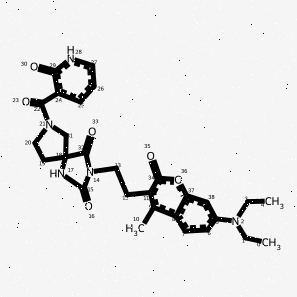 CCN(CC)c1ccc2c(C)c(CCN3C(=O)NC4(CCN(C(=O)c5ccc[nH]c5=O)C4)C3=O)c(=O)oc2c1